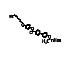 CC/C=C\CCCCOc1ccc(OC(=O)c2ccc(-c3ccc(O[C@@H](C)CCCCCC)cc3)cc2)cc1